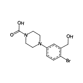 O=C(O)N1CCN(c2ccc(Br)c(CO)c2)CC1